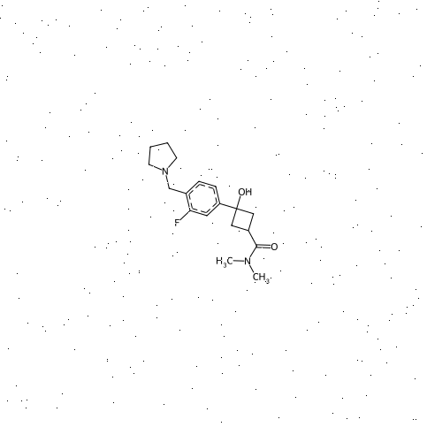 CN(C)C(=O)C1CC(O)(c2ccc(CN3CCCC3)c(F)c2)C1